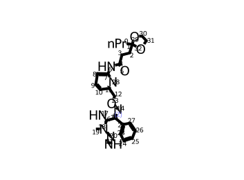 CCCC1(CCC(=O)Nc2cccc(CO/N=C(\C(=N)N(C)N=N)c3ccccc3)n2)OCCO1